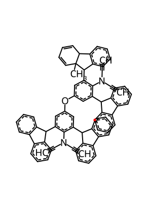 C#CN(C#C)c1c(C2c3ccccc3-c3ccccc32)cc(Oc2cc(C3c4ccccc4-c4ccccc43)c(N(C#C)C#C)c(C3c4ccccc4C4C=CC=CC43C)c2)cc1C1c2ccccc2-c2ccccc21